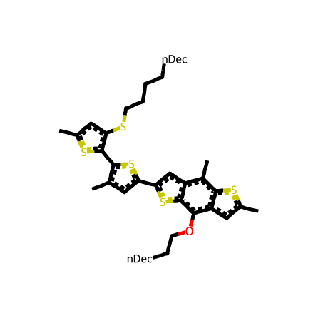 CCCCCCCCCCCCCCSc1cc(C)sc1-c1sc(-c2cc3c(C)c4sc(C)cc4c(OCCCCCCCCCCCC)c3s2)cc1C